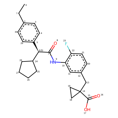 CCc1ccc([C@@H](C(=O)Nc2cc(CC3(C(=O)O)CC3)ccc2F)C2CCCC2)cc1